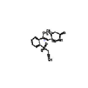 C#CCS(=O)(=O)c1ccccc1/C(C)=C/C1NNC(=O)CC1C